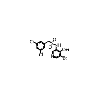 O=S(=O)(Cc1cc(Cl)cc(Cl)c1)Nc1cncc(Br)c1O